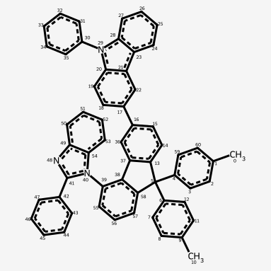 Cc1ccc(C2(c3ccc(C)cc3)c3ccc(-c4ccc5c(c4)c4ccccc4n5-c4ccccc4)cc3-c3c(-n4c(-c5ccccc5)nc5ccccc54)cccc32)cc1